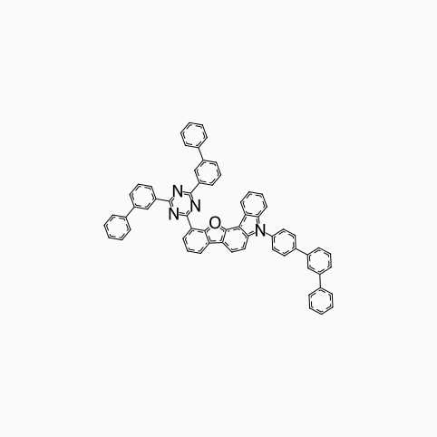 c1ccc(-c2cccc(-c3ccc(-n4c5ccccc5c5c6oc7c(-c8nc(-c9cccc(-c%10ccccc%10)c9)nc(-c9cccc(-c%10ccccc%10)c9)n8)cccc7c6ccc54)cc3)c2)cc1